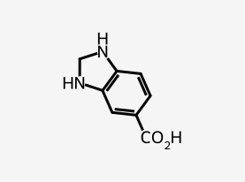 O=C(O)c1ccc2c(c1)NCN2